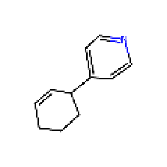 C1=CC(c2ccncc2)CCC1